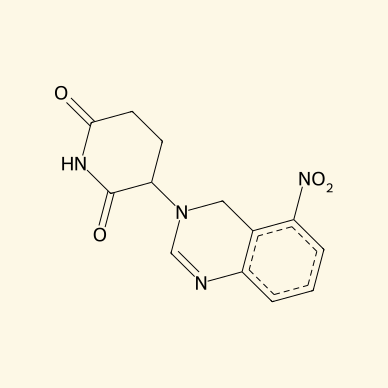 O=C1CCC(N2C=Nc3cccc([N+](=O)[O-])c3C2)C(=O)N1